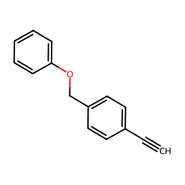 C#Cc1ccc(COc2ccccc2)cc1